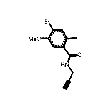 C#CCNC(=O)c1cc(OC)c(Br)cc1C